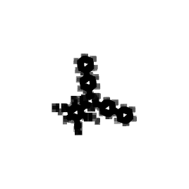 Bc1c(B)c(-c2nc(-c3ccc(-c4ccccc4)cc3)nc(-c3ccc(-c4ccccc4)cc3)n2)c(B)c(C#N)c1F